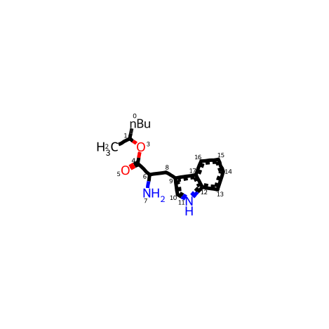 CCCCC(C)OC(=O)C(N)Cc1c[nH]c2ccccc12